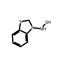 SNN1CSc2ccccc21